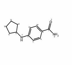 NC(=O)c1ccc(NC2CCCC2)cc1